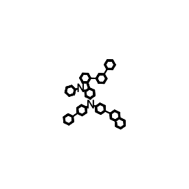 c1ccc(-c2ccc(N(c3ccc(-c4ccc5ccccc5c4)cc3)c3ccc4c5c(-c6cccc(-c7ccccc7)c6)cccc5n(-c5ccccc5)c4c3)cc2)cc1